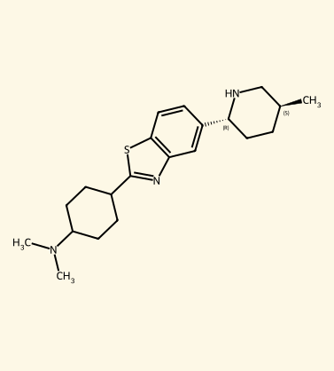 C[C@H]1CC[C@H](c2ccc3sc(C4CCC(N(C)C)CC4)nc3c2)NC1